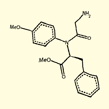 COC(=O)[C@H](Cc1ccccc1)N(C(=O)CN)c1ccc(OC)cc1